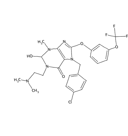 CN(C)CCN1C(=O)c2c(nc(Oc3cccc(OC(F)(F)F)c3)n2Cc2ccc(Cl)cc2)N(C)C1O